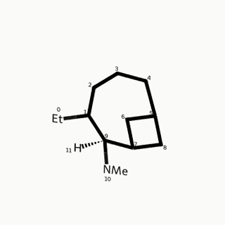 CCC1CCCC2CC(C2)[C@H]1NC